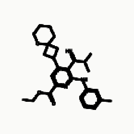 CCOC(=O)c1cc(N2CC3(CCCCO3)C2)c(C(=N)C(C)C)c(Nc2cccc(C)c2)n1